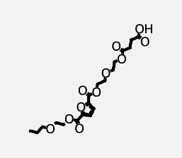 CCCOCCOC(=O)c1ccc(C(=O)OCCOCCOC(=O)CCC(=O)O)o1